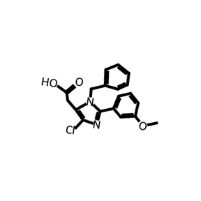 COc1cccc(-c2nc(Cl)c(CC(=O)O)n2Cc2ccccc2)c1